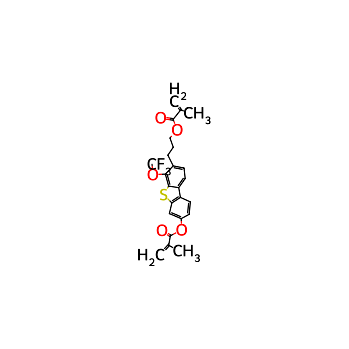 C=C(C)C(=O)OCCCc1ccc2c(sc3cc(OC(=O)C(=C)C)ccc32)c1OC(F)(F)F